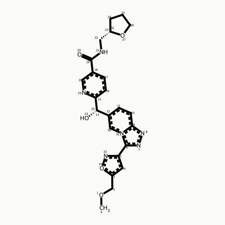 COCc1cc(-c2nnc3ccc([C@H](O)c4ccc(C(=O)NC[C@@H]5CCCO5)cn4)cn23)no1